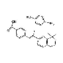 CC(=Cc1ccc(C(=O)O)cc1)c1ccc2c(c1)C(C)(C)CCC2.Nc1ccc(O)cc1